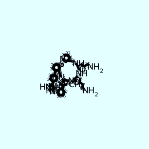 CN1C(=O)[C@H](CCCCN)NC(=O)[C@H](CCCN)NCc2cccnc2Sc2cccc(-c3ccc(-c4nnn[nH]4)cc3)c2CNC(=O)[C@@H]1Cc1c[nH]c2ccccc12